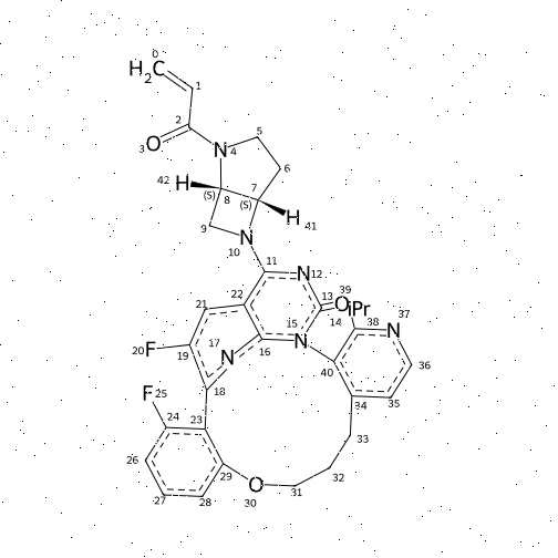 C=CC(=O)N1CC[C@H]2[C@@H]1CN2c1nc(=O)n2c3nc(c(F)cc13)-c1c(F)cccc1OCCCc1ccnc(C(C)C)c1-2